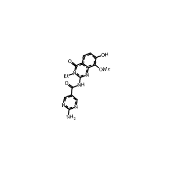 CCn1c(NC(=O)c2cnc(N)nc2)nc2c(OC)c(O)ccc2c1=O